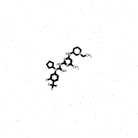 CCN1CCCC(Nc2cc(C)nc(NC(=N)N(c3ccc(C(F)(F)F)c(F)c3)C3CCCC3)n2)C1